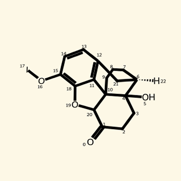 O=C1CCC2(O)[C@@H]3CCCC24c2c(ccc(OI)c2OC14)C3